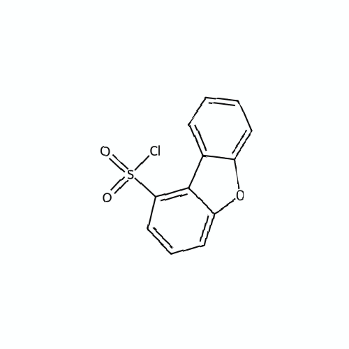 O=S(=O)(Cl)c1cccc2oc3ccccc3c12